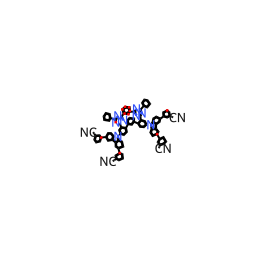 N#Cc1cccc(-c2ccc3c(c2)c2cc(-c4cccc(C#N)c4)ccc2n3-c2ccc(-c3cccc(-c4ccc(-n5c6ccc(-c7cccc(C#N)c7)cc6c6cc(-c7cccc(C#N)c7)ccc65)cc4-c4nc(-c5ccccc5)nc(-c5ccccc5)n4)c3)c(-c3nc(-c4ccccc4)nc(-c4ccccc4)n3)c2)c1